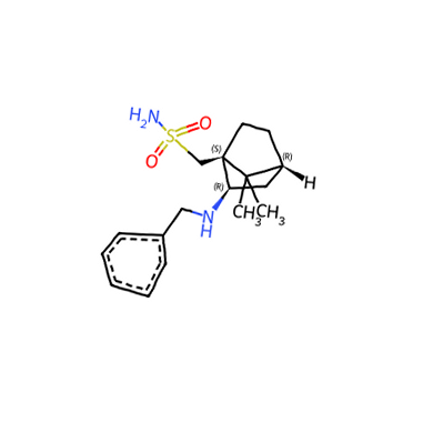 CC1(C)[C@@H]2CC[C@@]1(CS(N)(=O)=O)[C@H](NCc1ccccc1)C2